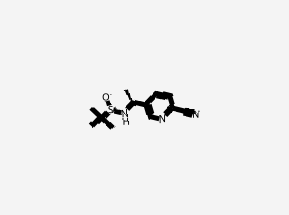 C[C@H](N[S+]([O-])C(C)(C)C)c1ccc(C#N)nc1